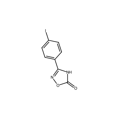 O=c1[nH]c(-c2ccc(I)cc2)no1